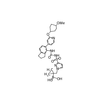 COC1CCC(Oc2cc(-c3ccc4c(c3NC(=O)NS(=O)(=O)c3ccn(CC(C)(C)B(O)O)n3)CCC4)ccn2)CC1